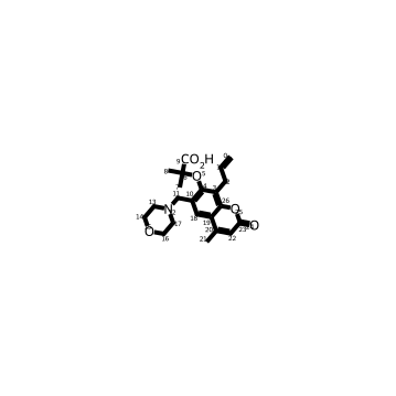 C=CCc1c(OC(C)(C)C(=O)O)c(CN2CCOCC2)cc2c(C)cc(=O)oc12